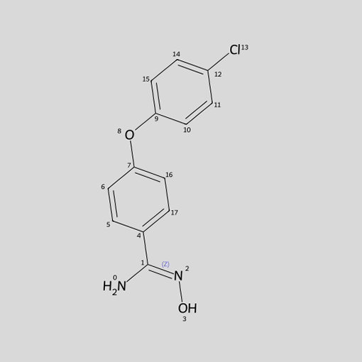 N/C(=N\O)c1ccc(Oc2ccc(Cl)cc2)cc1